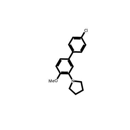 COc1ccc(-c2ccc(Cl)cc2)cc1N1CCCC1